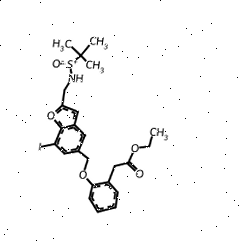 CCOC(=O)Cc1ccccc1OCc1cc(I)c2oc(CN[S@+]([O-])C(C)(C)C)cc2c1